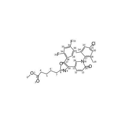 COC(=O)CCCCc1nc(-c2ccc(=O)n(-c3c(C)cc(Cl)cc3C)c2)c(-c2ccc(F)cc2F)o1